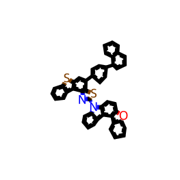 c1ccc2c(-c3ccc(-c4cc5sc6ccccc6c5c5nc(-n6c7ccccc7c7c8c(ccc76)oc6ccccc68)sc45)cc3)cccc2c1